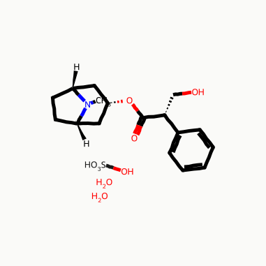 CN1[C@@H]2CC[C@H]1C[C@@H](OC(=O)[C@H](CO)c1ccccc1)C2.O.O.O=S(=O)(O)O